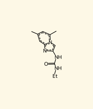 CCNC(=O)Nc1cn2c(C)cc(C)cc2n1